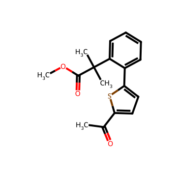 COC(=O)C(C)(C)c1ccccc1-c1ccc(C(C)=O)s1